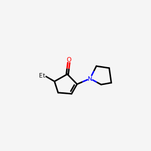 CCC1CC=C(N2CCCC2)C1=O